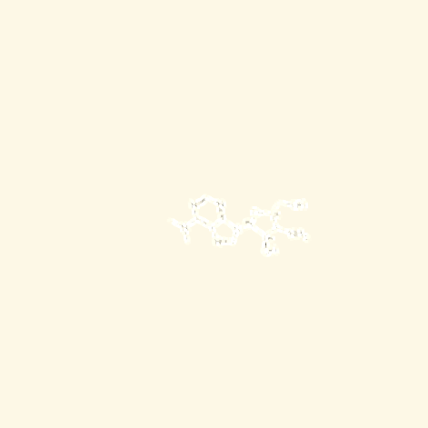 CN(C)c1ncnc2c1ncn2[C@@H]1O[C@H](CO)C(N)[C@H]1O